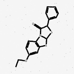 CCOc1ccc2c(c1)SC1SC(c3ccccc3)C(=O)N21